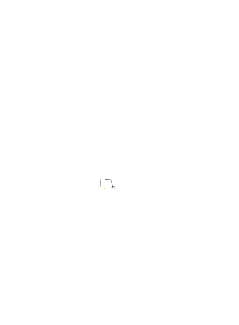 CCCCCCCCCCc1cs[c]([Sn]([CH2]CCC)([CH2]CCC)[CH2]CCC)c1